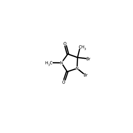 CN1C(=O)N(Br)C(C)(Br)C1=O